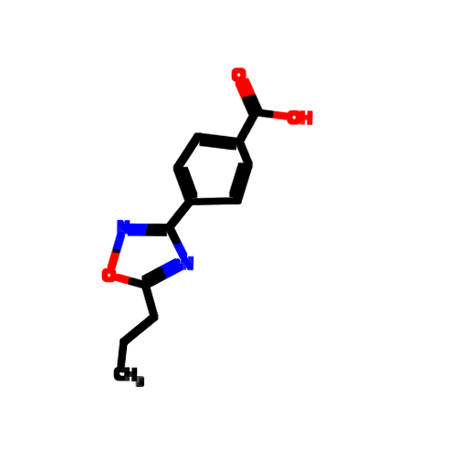 CCCc1nc(-c2ccc(C(=O)O)cc2)no1